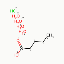 CCCCC(=O)O.Cl.O.O.O.O